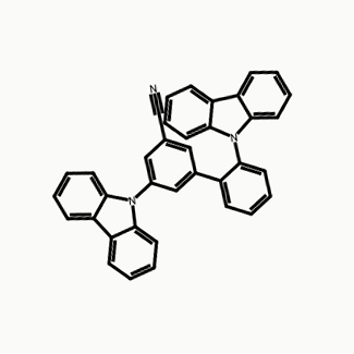 N#Cc1cc(-c2ccccc2-n2c3ccccc3c3ccccc32)cc(-n2c3ccccc3c3ccccc32)c1